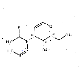 C/N=N\N(C(C)F)[C@@H]1C=CO[C@H](COC(C)=O)[C@@H]1OC(C)=O